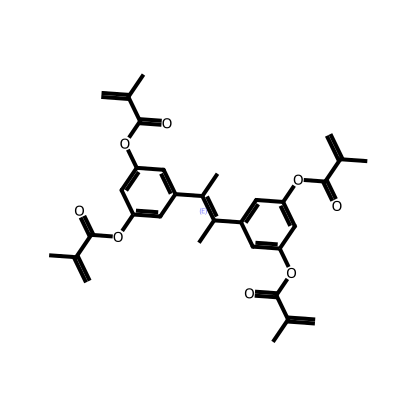 C=C(C)C(=O)Oc1cc(OC(=O)C(=C)C)cc(/C(C)=C(\C)c2cc(OC(=O)C(=C)C)cc(OC(=O)C(=C)C)c2)c1